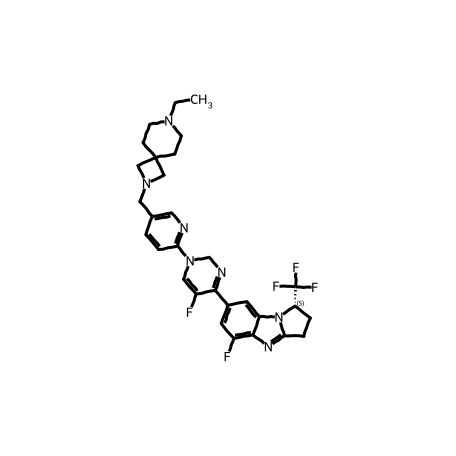 CCN1CCC2(CC1)CN(Cc1ccc(N3C=C(F)C(c4cc(F)c5nc6n(c5c4)[C@H](C(F)(F)F)CC6)=NC3)nc1)C2